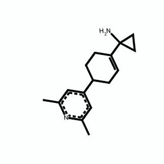 Cc1cc(C2CC=C(C3(N)CC3)CC2)cc(C)n1